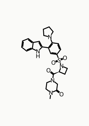 CN1CCN(C(=O)[C@@H]2CCN2S(=O)(=O)c2ccc(N3CCCC3)c(-c3cc4ccccc4[nH]3)c2)CC1=O